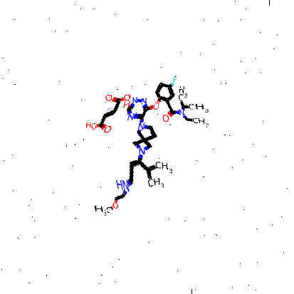 CCN(C(=O)c1cc(F)ccc1Oc1nncnc1N1CCC2(C1)CN(C(CCNCCOC)C(C)C)C2)C(C)C.O=C(O)/C=C/C(=O)O